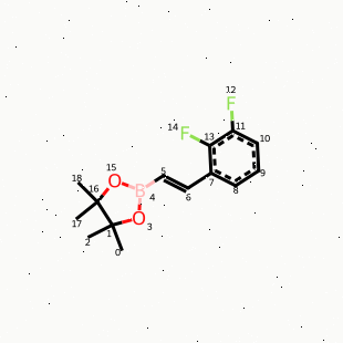 CC1(C)OB(C=Cc2cccc(F)c2F)OC1(C)C